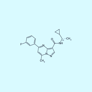 Cc1cc(-c2cccc(F)c2)nc2c(C(=O)N[C@@H](C)C3CC3)cnn12